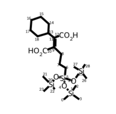 C[Si](C)(C)O[Si](CCC/C(C(=O)O)=C(\C(=O)O)C1CCCCC1)(O[Si](C)(C)C)O[Si](C)(C)C